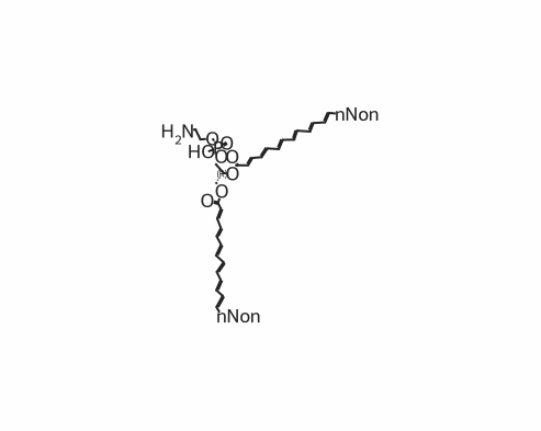 CCCCCCCCCC=CC=CC=CC=CC=CC=CC(=O)OC[C@H](COP(=O)(O)OCCN)OC(=O)C=CC=CC=CC=CC=CC=CCCCCCCCCC